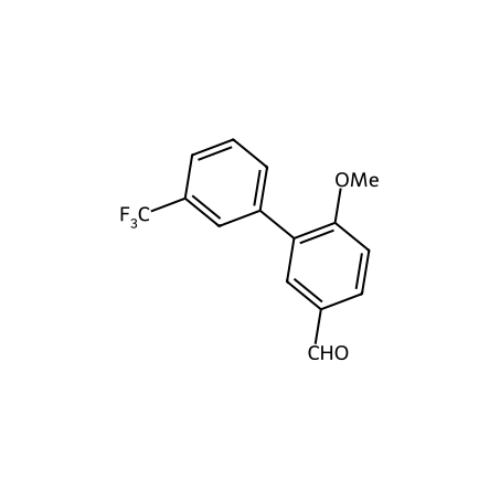 COc1ccc(C=O)cc1-c1cccc(C(F)(F)F)c1